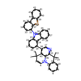 CC1(C)C=CN2c3ccccc3C(C)(C)c3ncc(-c4cccc5c4c4ccccc4n5-c4cccc5c4sc4ccccc45)c1c32